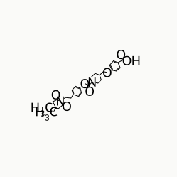 CC1(C)CC(=O)N(CCc2ccc(OC(=O)N3CCC(COc4ccc(C(=O)O)cc4)CC3)cc2)C(=O)C1